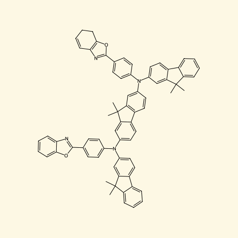 CC1(C)c2ccccc2-c2ccc(N(c3ccc(-c4nc5c(o4)CCC=C5)cc3)c3ccc4c(c3)C(C)(C)c3cc(N(c5ccc(-c6nc7ccccc7o6)cc5)c5ccc6c(c5)C(C)(C)c5ccccc5-6)ccc3-4)cc21